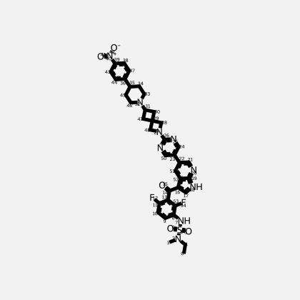 CCN(C)S(=O)(=O)Nc1ccc(F)c(C(=O)c2c[nH]c3ncc(-c4cnc(N5CC6(CC(N7CCC(c8ccc([N+](=O)[O-])cc8)CC7)C6)C5)nc4)cc23)c1F